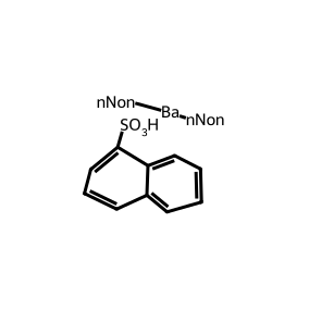 CCCCCCCC[CH2][Ba][CH2]CCCCCCCC.O=S(=O)(O)c1cccc2ccccc12